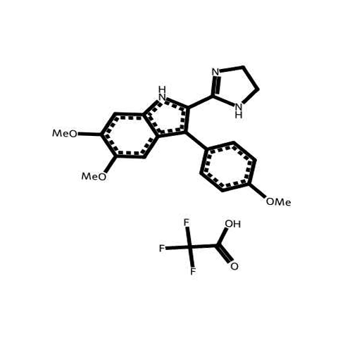 COc1ccc(-c2c(C3=NCCN3)[nH]c3cc(OC)c(OC)cc23)cc1.O=C(O)C(F)(F)F